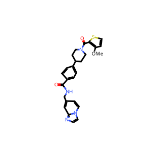 COc1ccsc1C(=O)N1CCC(c2ccc(C(=O)NCc3ccn4ccnc4c3)cc2)CC1